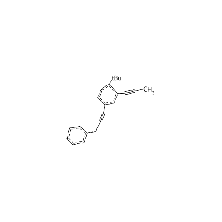 CC#Cc1cc(C#CCc2ccccc2)ccc1C(C)(C)C